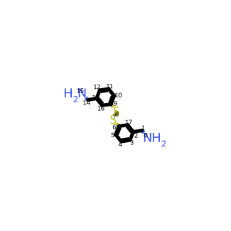 NCc1cccc(SSc2cccc(CN)c2)c1